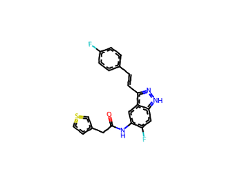 O=C(Cc1ccsc1)Nc1cc2c(C=Cc3ccc(F)cc3)n[nH]c2cc1F